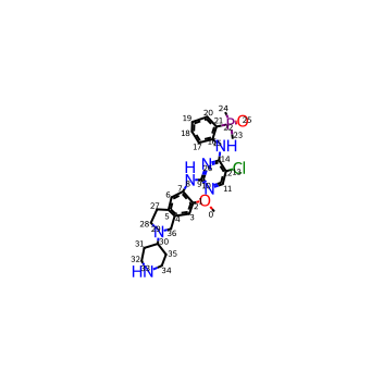 COc1cc2c(cc1Nc1ncc(Cl)c(Nc3ccccc3P(C)(C)=O)n1)CCN(C1CCNCC1)C2